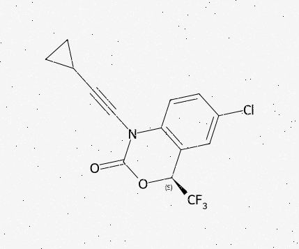 O=C1O[C@H](C(F)(F)F)c2cc(Cl)ccc2N1C#CC1CC1